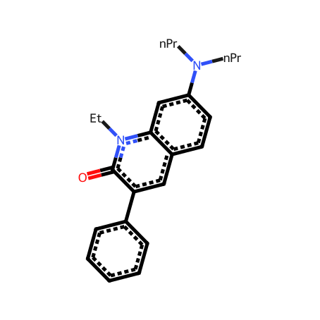 CCCN(CCC)c1ccc2cc(-c3ccccc3)c(=O)n(CC)c2c1